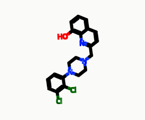 Oc1cccc2ccc(CN3CCN(c4cccc(Cl)c4Cl)CC3)nc12